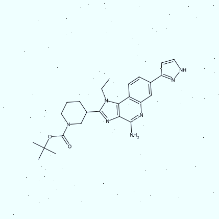 CCn1c(C2CCCN(C(=O)OC(C)(C)C)C2)nc2c(N)nc3cc(-c4cc[nH]n4)ccc3c21